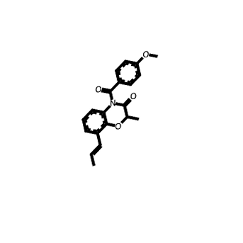 CC=Cc1cccc2c1OC(C)C(=O)N2C(=O)c1ccc(OC)cc1